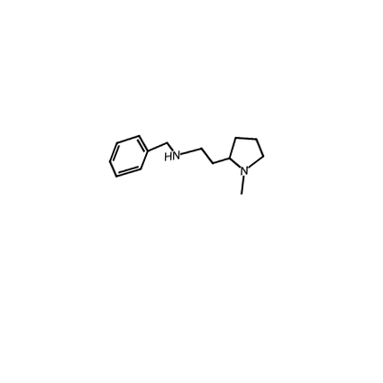 CN1CCCC1CCNCc1ccccc1